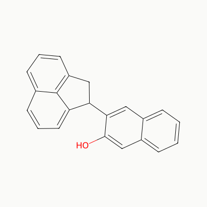 Oc1cc2ccccc2cc1C1Cc2cccc3cccc1c23